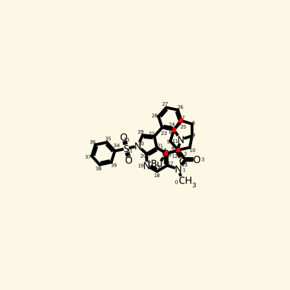 CN1C(=O)C2(CC3CCC(C2)N3C(=O)OC(C)(C)C)c2c1cnc1c2c(-c2ccccc2)cn1S(=O)(=O)c1ccccc1